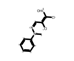 CN(/N=C\C(Cl)=C(\Cl)C=O)c1ccccc1